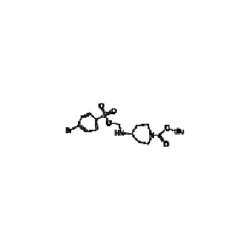 CC(C)(C)OC(=O)N1CCC(NCOS(=O)(=O)c2ccc(Br)cc2)CC1